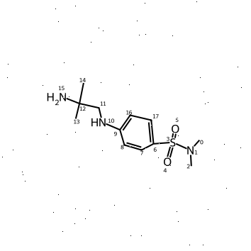 CN(C)S(=O)(=O)c1ccc(NCC(C)(C)N)cc1